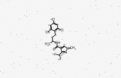 CC(CCc1c(Cl)cc(Cl)cc1Cl)NC(=O)c1cn(C)nc1C(F)F